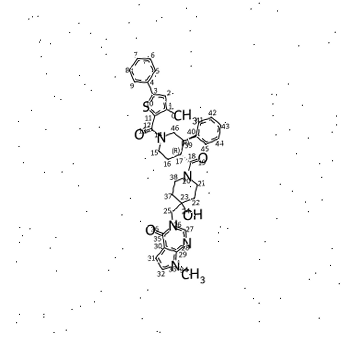 Cc1cc(-c2ccccc2)sc1C(=O)N1CC[C@@H](C(=O)N2CCC(O)(Cn3cnc4c(ccn4C)c3=O)CC2)[C@H](c2ccccc2)C1